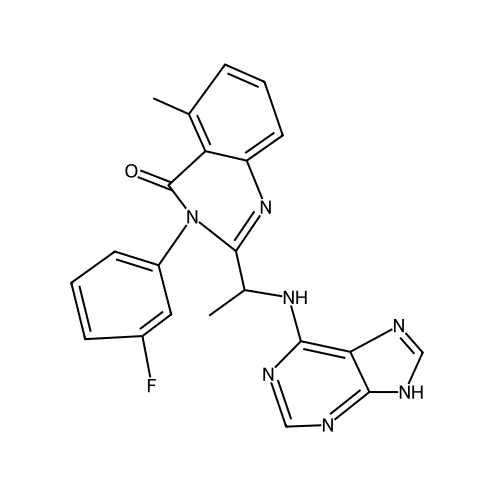 Cc1cccc2nc(C(C)Nc3ncnc4[nH]cnc34)n(-c3cccc(F)c3)c(=O)c12